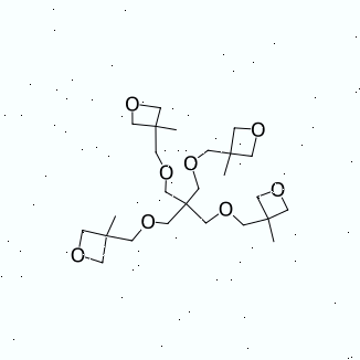 CC1(COCC(COCC2(C)COC2)(COCC2(C)COC2)COCC2(C)COC2)COC1